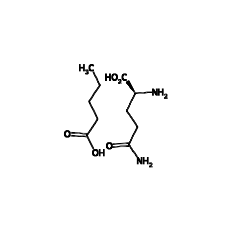 CCCCC(=O)O.NC(=O)CC[C@H](N)C(=O)O